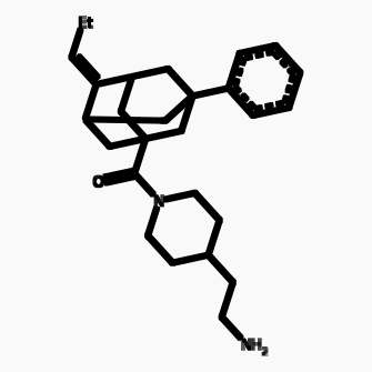 CCC=C1C2CC3(C(=O)N4CCC(CCN)CC4)CC1CC(c1ccccc1)(C2)C3